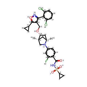 O=C(NS(=O)(=O)C1CC1)c1ccc(N2C[C@@H]3C[C@H]2C[C@H]3OCc2c(-c3c(Cl)cccc3Cl)noc2C2CC2)cc1F